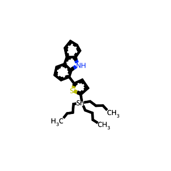 CCC[CH2][Sn]([CH2]CCC)([CH2]CCC)[c]1ccc(-c2cccc3c2[nH]c2ccccc23)s1